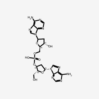 Nc1ncnc2c1ncn2C1C[C@H](O)[C@@H](COP(=O)(O)O[C@H]2C[C@H](n3cnc4c(N)ncnc43)O[C@@H]2CO)O1